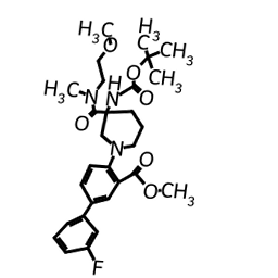 COCCN(C)C(=O)C1(NC(=O)OC(C)(C)C)CCCN(c2ccc(-c3cccc(F)c3)cc2C(=O)OC)C1